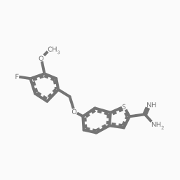 COc1cc(COc2ccc3cc(C(=N)N)sc3c2)ccc1F